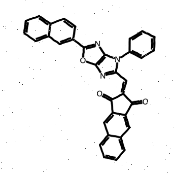 O=C1C(=Cc2nc3oc(-c4ccc5ccccc5c4)nc3n2-c2ccccc2)C(=O)c2cc3ccccc3cc21